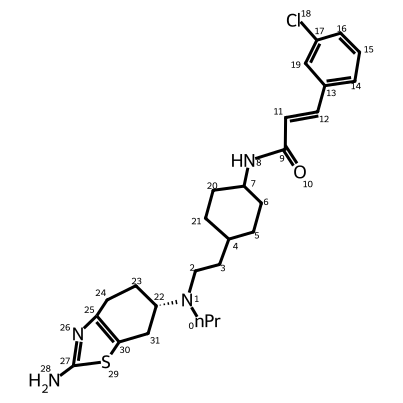 CCCN(CCC1CCC(NC(=O)/C=C/c2cccc(Cl)c2)CC1)[C@H]1CCc2nc(N)sc2C1